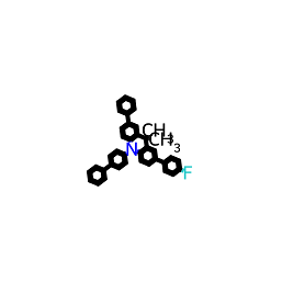 CC1(C)c2cc(-c3ccccc3)ccc2N(c2ccc(-c3ccccc3)cc2)c2ccc(-c3ccc(F)cc3)cc21